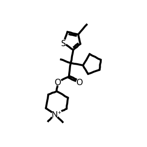 Cc1csc(C(C)(C(=O)OC2CC[N+](C)(C)CC2)C2CCCC2)c1